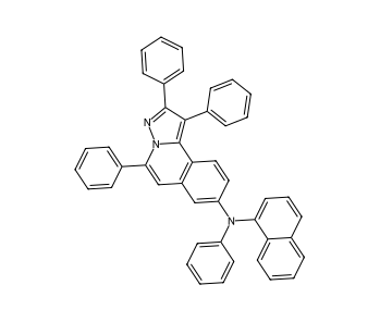 c1ccc(-c2nn3c(-c4ccccc4)cc4cc(N(c5ccccc5)c5cccc6ccccc56)ccc4c3c2-c2ccccc2)cc1